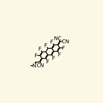 C/N=C/C(C#N)=C1\C(F)=C(F)C2C(=C1F)C(F)=c1c(F)c(F)c(=C(C#N)C#N)c(F)c1C2F